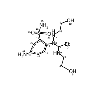 CCC(NCCO)N(NCCO)c1ccc(N)cc1S(N)(=O)=O